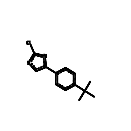 CC(C)(C)c1ccc(-c2csc(Cl)n2)cc1